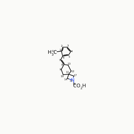 Cc1ccccc1C=C1CCC2(CC1)CN(C(=O)O)C2